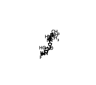 Cc1cc(Nc2cnc(C3CCC(C(=O)N(CCO)Cc4ccc(-n5cc(F)cn5)nc4)CC3)nc2C)n[nH]1